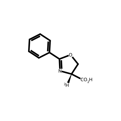 [2H][C@]1(C(=O)O)COC(c2ccccc2)=N1